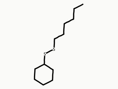 CCCCCCSSC1CCCCC1